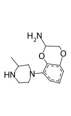 CC1CN(c2cccc3c2OC(N)CO3)CCN1